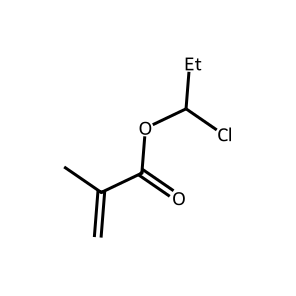 C=C(C)C(=O)OC(Cl)CC